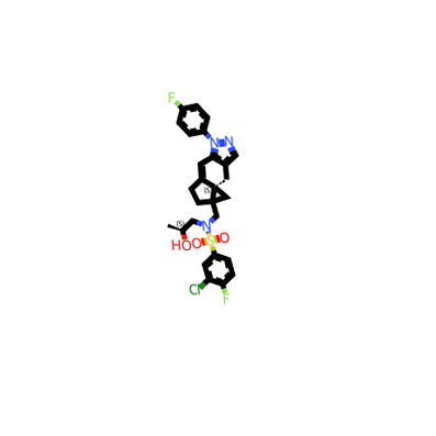 C[C@H](O)CN(CC12CCC3=Cc4c(cnn4-c4ccc(F)cc4)C[C@@]31C2)S(=O)(=O)c1ccc(F)c(Cl)c1